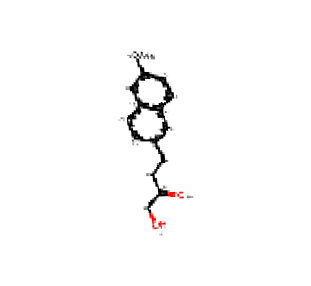 COc1ccc2cc(CCC(=O)CO)ccc2c1